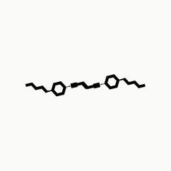 CCCCC[C@H]1CC[C@H](C#C/C=C/C#C[C@H]2CC[C@H](CCCCC)CC2)CC1